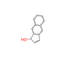 OC1C=Cc2cc3ccccc3cc21